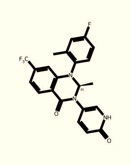 Cc1cc(F)ccc1N1c2cc(C(F)(F)F)ccc2C(=O)N(c2ccc(=O)[nH]c2)[C@@H]1C